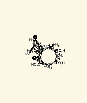 CCC(C)CCCCCCC(=O)NC(Cc1c[nH]c2ccccc12)C(=O)NC(CC(N)=O)C(=O)NC(CC(=O)O)C(=O)NC1C(=O)NCC(=O)NC(CCCN)C(=O)NC(CC(=O)O)C(=O)NC(C)C(=O)NC(CC(=O)O)C(=O)NCC(=O)NC(C)C(=O)NC(CCC(=O)O)C(=O)NC(CC(=O)c2ccccc2N)C(=O)OC1C